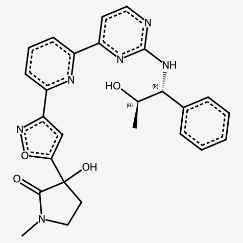 C[C@@H](O)[C@H](Nc1nccc(-c2cccc(-c3cc(C4(O)CCN(C)C4=O)on3)n2)n1)c1ccccc1